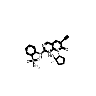 C#Cc1cc2cnc(Nc3ccccc3S(N)(=O)=O)nc2n([C@@H]2CCC[C@@]2(C)O)c1=O